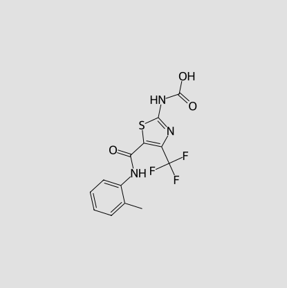 Cc1ccccc1NC(=O)c1sc(NC(=O)O)nc1C(F)(F)F